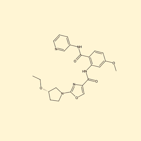 CCO[C@H]1CCN(c2nc(C(=O)Nc3cc(OC)ccc3C(=O)Nc3cccnc3)co2)C1